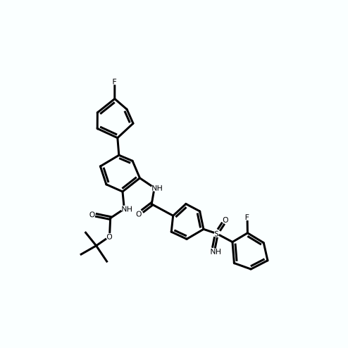 CC(C)(C)OC(=O)Nc1ccc(-c2ccc(F)cc2)cc1NC(=O)c1ccc(S(=N)(=O)c2ccccc2F)cc1